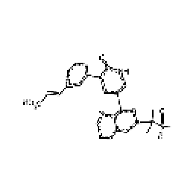 CC(C)(c1cc(-c2c[nH]c(=O)c(-c3cccc(C=CC(=O)O)c3)c2)c2ncccc2c1)S(C)(=O)=O